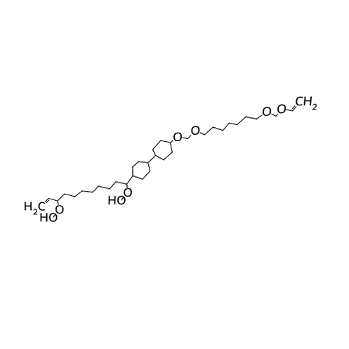 C=COCOCCCCCCCOCOC1CCC(C2CCC(C(CCCCCCCC(C=C)OO)OO)CC2)CC1